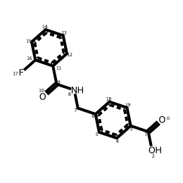 O=C(O)c1ccc(CNC(=O)c2ccccc2F)cc1